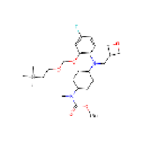 CN(C(=O)OC(C)(C)C)C1CCC(N(CC2COC2)c2ccc(F)cc2OCOCC[Si](C)(C)C)CC1